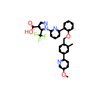 COc1ccc(-c2ccc(COc3ccccc3-c3cccc(-n4ncc(C(=O)O)c4C(F)(F)F)n3)c(C)c2)nc1